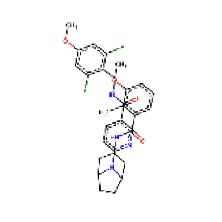 COc1cc(F)c(CNC(=O)c2ccc(N3C4CCC3CC(NC(=O)c3cccc(OC)c3C)C4)nc2)c(F)c1